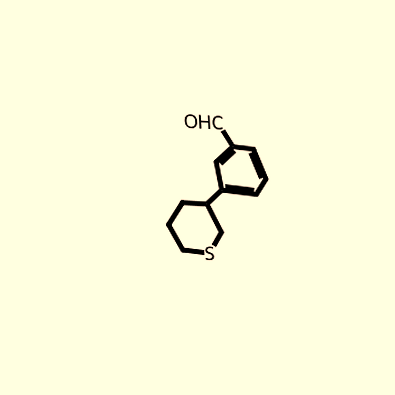 O=Cc1cccc(C2CCCSC2)c1